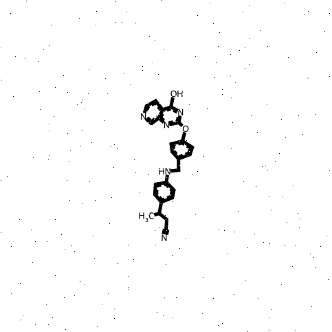 CC(CC#N)c1ccc(NCc2ccc(Oc3nc(O)c4ccncc4n3)cc2)cc1